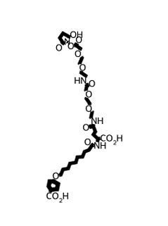 O=C(CCC(NC(=O)CCCCCCCCCOc1ccc(C(=O)O)cc1)C(=O)O)NCCOCCOCC(=O)NCCOCCOCC(=O)ON1C(=O)CC[C@@H]1O